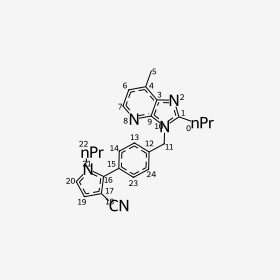 CCCc1nc2c(C)ccnc2n1Cc1ccc(-c2c(C#N)ccn2CCC)cc1